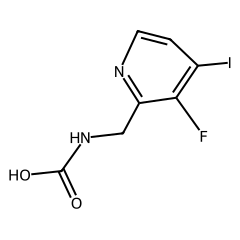 O=C(O)NCc1nccc(I)c1F